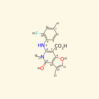 Cc1ccc(Nc2c(C(=O)O)c3occ(C)c3c(=O)n2C)c(F)c1